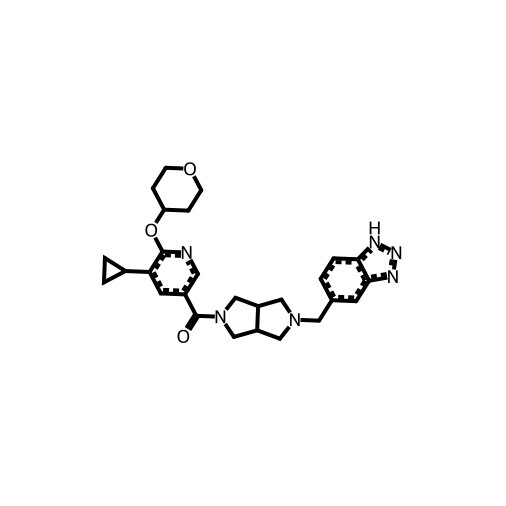 O=C(c1cnc(OC2CCOCC2)c(C2CC2)c1)N1CC2CN(Cc3ccc4[nH]nnc4c3)CC2C1